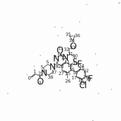 C=CC(=O)N1CCN(c2nc(=O)n3c4c(c(-c5cc(Cl)c(F)cc5F)c(C)cc24)SCC3COC2CC2)CC1